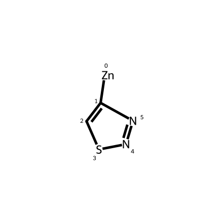 [Zn][c]1csnn1